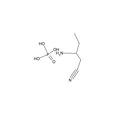 CCC(N)CC#N.O=P(O)(O)O